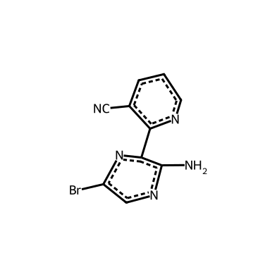 N#Cc1cccnc1-c1nc(Br)cnc1N